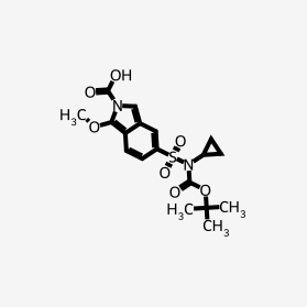 COc1c2ccc(S(=O)(=O)N(C(=O)OC(C)(C)C)C3CC3)cc2cn1C(=O)O